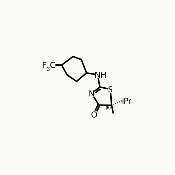 CC(C)[C@@]1(C)SC(NC2CCC(C(F)(F)F)CC2)=NC1=O